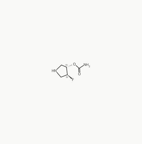 NC(=O)O[C@H]1CNC[C@@H]1F